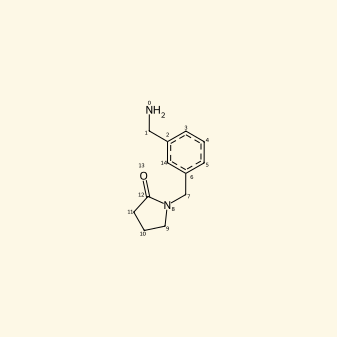 NCc1cccc(CN2CCCC2=O)c1